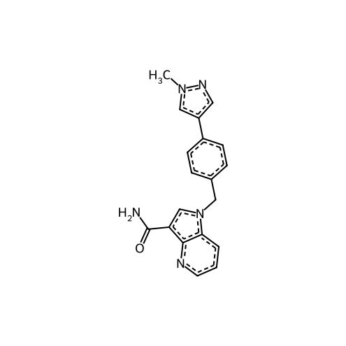 Cn1cc(-c2ccc(Cn3cc(C(N)=O)c4ncccc43)cc2)cn1